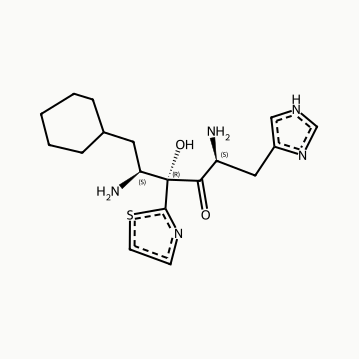 N[C@@H](Cc1c[nH]cn1)C(=O)[C@@](O)(c1nccs1)[C@@H](N)CC1CCCCC1